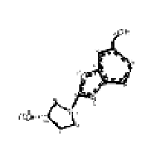 Oc1ccc2nc(N3CC[C@H](O)C3)oc2c1